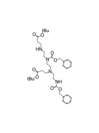 CC(C)(C)OC(=O)CCNCCN(CCN(CCNC(=O)OCc1ccccc1)CCC(=O)OC(C)(C)C)C(=O)OCc1ccccc1